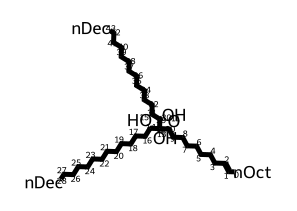 CCCCCCCCC=CCCCCCCCC(=O)C(O)(C(O)CCCCCCCCCCCCCCCCCCCCCC)C(O)CCCCCCCCCCCCCCCCCCCCCC